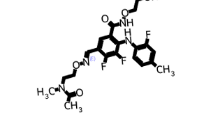 CC(=O)N(C)CCO/N=C/c1cc(C(=O)NOCCO)c(Nc2ccc(C)cc2F)c(F)c1F